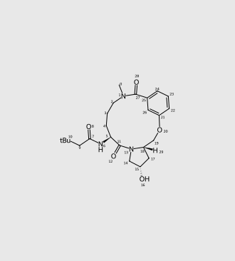 CN1CCC[C@H](NC(=O)CC(C)(C)C)C(=O)N2C[C@@H](O)C[C@H]2COc2cccc(c2)C1=O